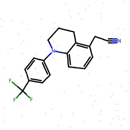 N#CCc1cccc2c1CCCN2c1ccc(C(F)(F)F)cc1